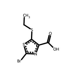 CCSc1sc(Br)nc1C(=O)O